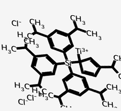 CC(C)C1=C[C]([Ti+3])([Si](c2cc(C(C)C)cc(C(C)C)c2)(c2cc(C(C)C)cc(C(C)C)c2)c2cc(C(C)C)cc(C(C)C)c2)C=C1.[Cl-].[Cl-].[Cl-]